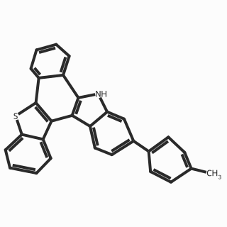 Cc1ccc(-c2ccc3c(c2)[nH]c2c4ccccc4c4sc5ccccc5c4c32)cc1